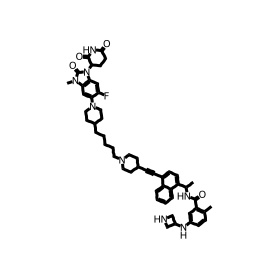 Cc1ccc(NC2CNC2)cc1C(=O)NC(C)c1ccc(C#CC2CCN(CCCCCC3CCN(c4cc5c(cc4F)n(C4CCC(=O)NC4=O)c(=O)n5C)CC3)CC2)c2ccccc12